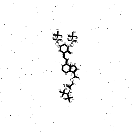 C=C1/C(=C\C=C2/CCC[C@]3(C)C(C(C)OCC(=O)OC(C(C)(C)C)C(C)(C)C)=CC[C@@H]23)C[C@@H](O[Si](C)(C)C(C)(C)C)C[C@@H]1O[Si](C)(C)C(C)(C)C